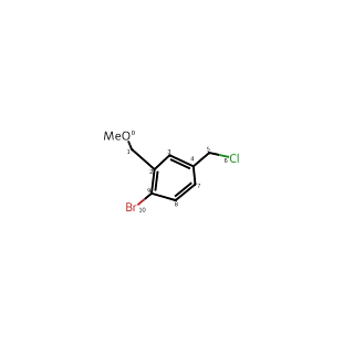 COCc1cc(CCl)ccc1Br